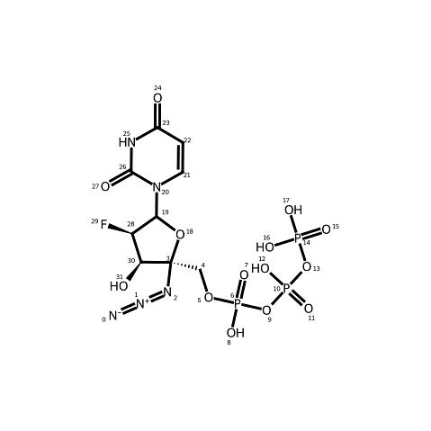 [N-]=[N+]=N[C@]1(COP(=O)(O)OP(=O)(O)OP(=O)(O)O)OC(n2ccc(=O)[nH]c2=O)[C@H](F)[C@@H]1O